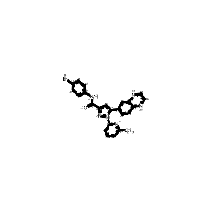 Cc1cccc(-n2nc(C(=O)Nc3ccc(Br)cc3)cc2-c2ccc3nccnc3c2)n1